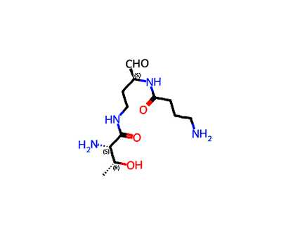 C[C@@H](O)[C@H](N)C(=O)NCC[C@@H](C=O)NC(=O)CCCN